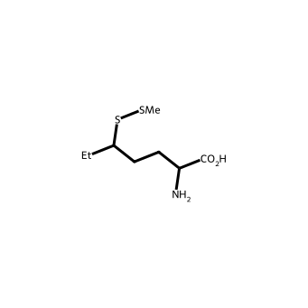 CCC(CCC(N)C(=O)O)SSC